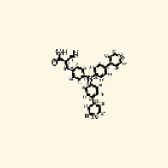 N#C/C(=C\c1ccc(N(c2ccc(-c3ccncc3)cc2)c2ccc(-c3ccncc3)cc2)cc1)C(=O)O